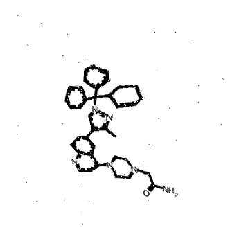 Cc1nn(C(c2ccccc2)(c2ccccc2)C2C=CC=CC2)cc1-c1ccc2nccc(N3CCN(CC(N)=O)CC3)c2c1